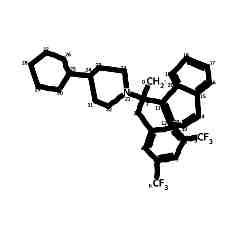 [CH2]C(Cc1cc(C(F)(F)F)cc(C(F)(F)F)c1)(c1cccc2ccccc12)N1CCC(C2CCCCC2)CC1